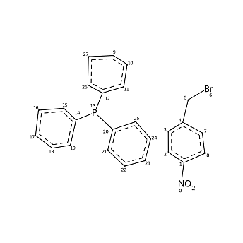 O=[N+]([O-])c1ccc(CBr)cc1.c1ccc(P(c2ccccc2)c2ccccc2)cc1